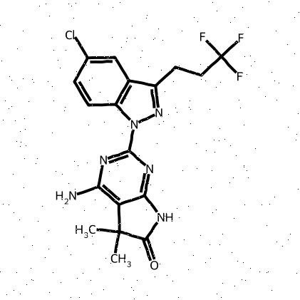 CC1(C)C(=O)Nc2nc(-n3nc(CCC(F)(F)F)c4cc(Cl)ccc43)nc(N)c21